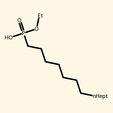 CCCCCCCCCCCCCCP(=O)(O)OCC